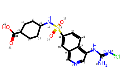 N/C(=N\Cl)Nc1cncc2cc(S(=O)(=O)NC3CCC(C(=O)O)CC3)ccc12